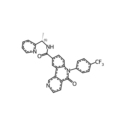 C[C@H](NC(=O)c1ccc2c(c1)c1cnccc1c(=O)n2-c1ccc(C(F)(F)F)cc1)c1ccccn1